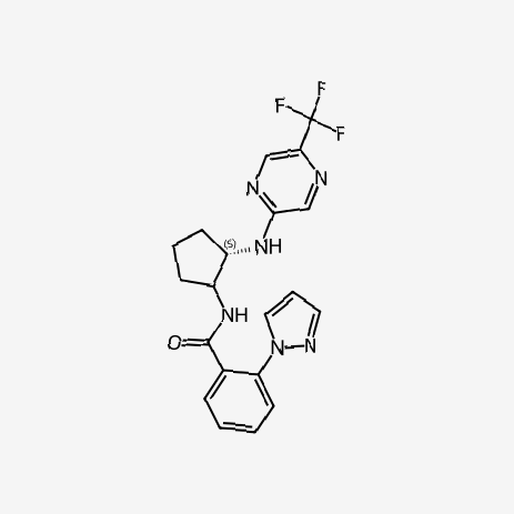 O=C(NC1CCC[C@@H]1Nc1cnc(C(F)(F)F)cn1)c1ccccc1-n1cccn1